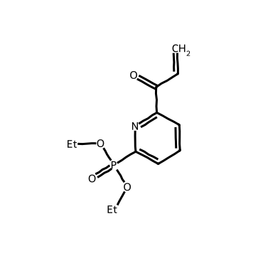 C=CC(=O)c1cccc(P(=O)(OCC)OCC)n1